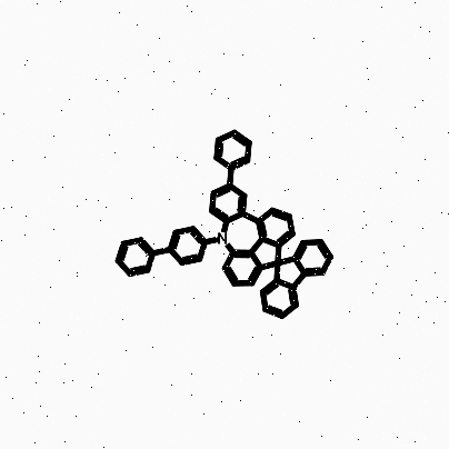 c1ccc(-c2ccc(N3c4ccc(-c5ccccc5)cc4-c4cccc5c4-c4c3cccc4C53c4ccccc4-c4ccccc43)cc2)cc1